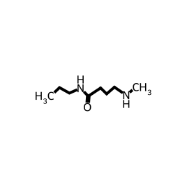 CCCNC(=O)CCCNC